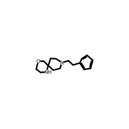 c1ccc(CCN2CCC3(CC2)COCCN3)cc1